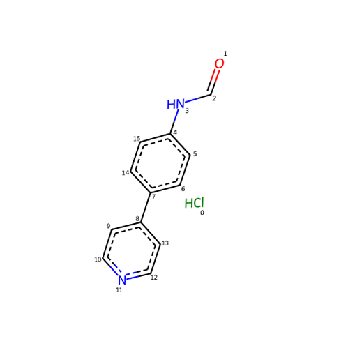 Cl.O=CNc1ccc(-c2ccncc2)cc1